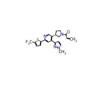 C=CC(=O)N1CC[C@H](c2cnc(-c3ccc(C(F)(F)F)s3)cc2-c2ccn(C)n2)C1